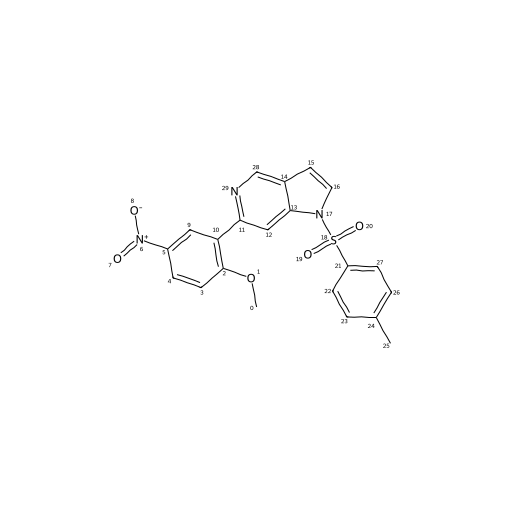 COc1ccc([N+](=O)[O-])cc1-c1cc2c(ccn2S(=O)(=O)c2ccc(C)cc2)cn1